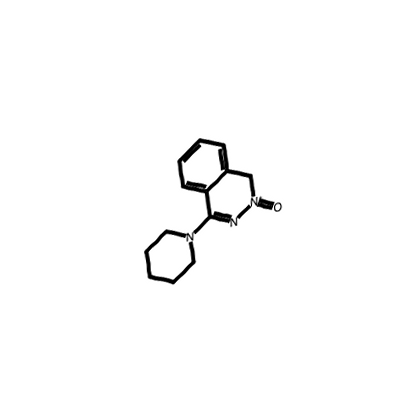 O=[N+]1Cc2ccccc2C(N2CCCCC2)=N1